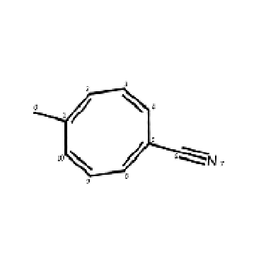 CC1=C/C=C\C(C#N)=C/C=C\1